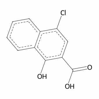 O=C(O)c1cc(Cl)c2ccccc2c1O